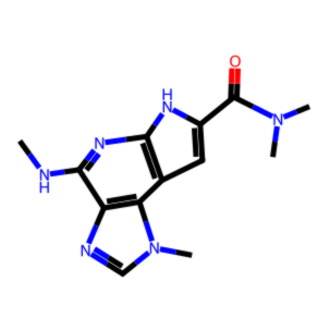 CNc1nc2[nH]c(C(=O)N(C)C)cc2c2c1ncn2C